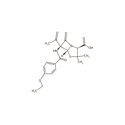 CCOc1ccc(C(=O)N[C@@]2(C(C)=O)C(=O)N3[C@@H](C(=O)O)C(C)(C)S[C@@H]32)cc1